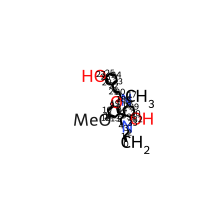 C=CCN1CCC2(c3cccc(OC)c3)CC(N(C)C(=O)/C=C/c3cccc(O)c3)CCC2(O)C1